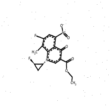 CCOC(=O)c1cn([C@@H]2C[C@H]2F)c2c(C)c(F)cc([N+](=O)[O-])c2c1=O